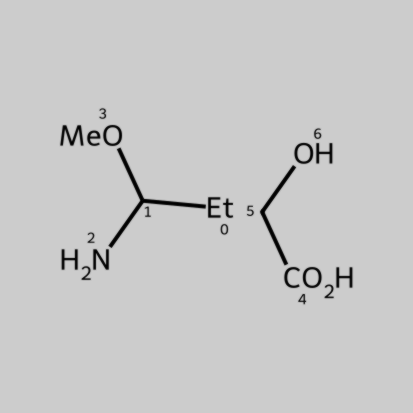 CCC(N)OC.O=C(O)CO